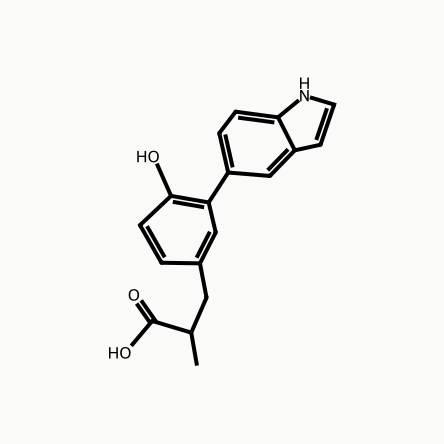 CC(Cc1ccc(O)c(-c2ccc3[nH]ccc3c2)c1)C(=O)O